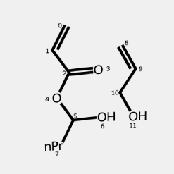 C=CC(=O)OC(O)CCC.C=CCO